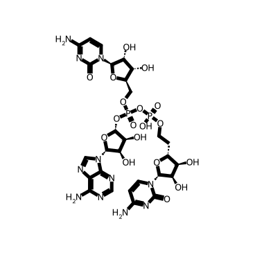 Nc1ccn([C@@H]2O[C@H](CCOP(=O)(O)OP(=O)(OC[C@H]3O[C@@H](n4ccc(N)nc4=O)[C@H](O)[C@@H]3O)O[C@H]3O[C@@H](n4cnc5c(N)ncnc54)[C@H](O)[C@@H]3O)[C@@H](O)[C@H]2O)c(=O)n1